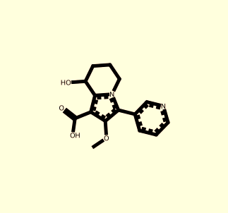 COc1c(C(=O)O)c2n(c1-c1cccnc1)CCCC2O